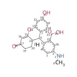 CNc1ccc(C2c3ccc(O)cc3OC3=CC(=O)CC[C@@H]32)c(C(=O)O)c1